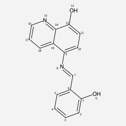 Oc1ccccc1C=Nc1ccc(O)c2ncccc12